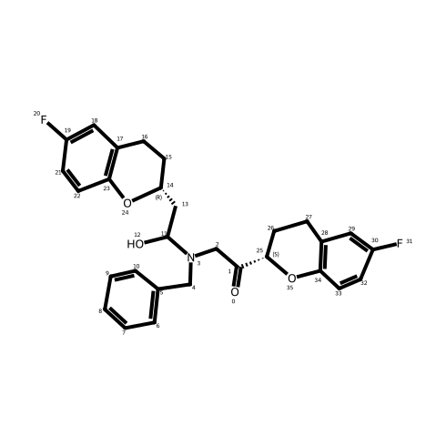 O=C(CN(Cc1ccccc1)C(O)C[C@H]1CCc2cc(F)ccc2O1)[C@@H]1CCc2cc(F)ccc2O1